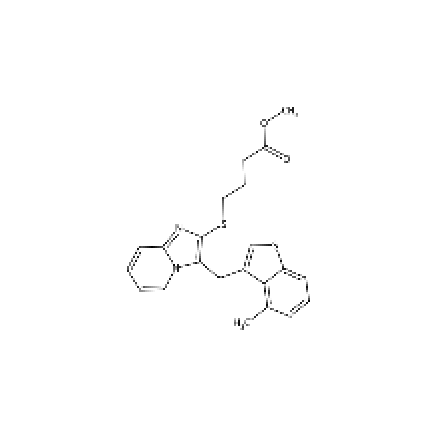 COC(=O)CCCSc1nc2ccccn2c1Cc1csc2cccc(C)c12